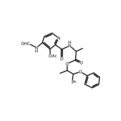 CC(=O)Oc1c(NC=O)ccnc1C(=O)NC(C)C(=O)OC(C)C(Oc1ccccc1)C(C)C